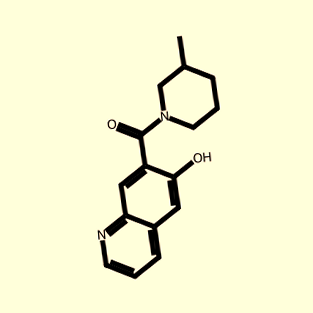 CC1CCCN(C(=O)c2cc3ncccc3cc2O)C1